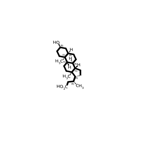 C[C@H](CC(=O)O)[C@H]1CC[C@H]2[C@@H]3CC[C@@H]4C[C@H](O)CC[C@]4(C)[C@H]3CC[C@]12C